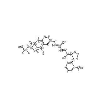 CSc1ccccc1[C@@H]1CCCN1C(=O)CNC(=O)NCc1ccc2c(c1)[C@H]1C[C@H](N2)[C@H](O[Si](C)(C)C(C)(C)C)CO1